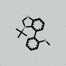 COc1ccccc1-c1cccc2c1[P@@](C(C)(C)C)CO2